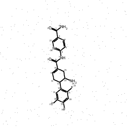 NC(=O)c1ccc(NC(=O)C2=CCC(c3cc(F)c(F)cc3F)C(N)C2)nc1